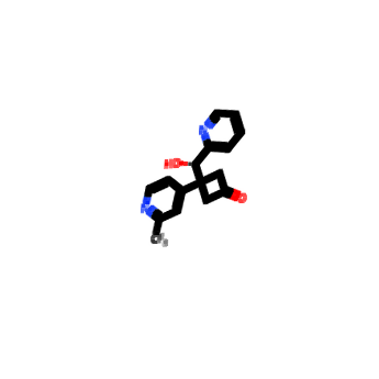 O=C1CC(c2ccnc(C(F)(F)F)c2)([C@H](O)c2ccccn2)C1